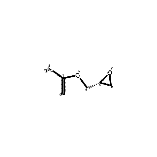 C=C(CCC)OC[C@H]1CO1